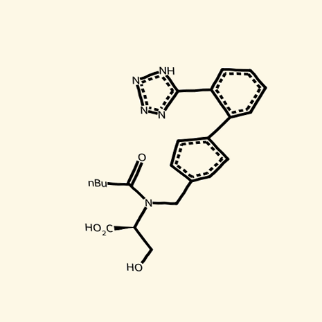 CCCCC(=O)N(Cc1ccc(-c2ccccc2-c2nnn[nH]2)cc1)[C@@H](CO)C(=O)O